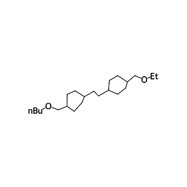 CCCCOCC1CCC(CCC2CCC(COCC)CC2)CC1